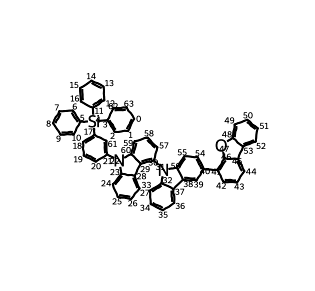 c1ccc([Si](c2ccccc2)(c2ccccc2)c2cccc(-n3c4ccccc4c4c(-n5c6ccccc6c6cc(-c7cccc8c7oc7ccccc78)ccc65)cccc43)c2)cc1